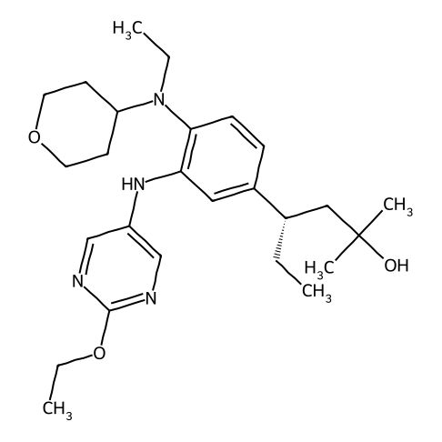 CCOc1ncc(Nc2cc([C@@H](CC)CC(C)(C)O)ccc2N(CC)C2CCOCC2)cn1